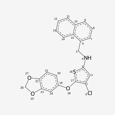 Clc1cc(NCc2cccc3ccccc23)sc1Oc1ccc2c(c1)OCO2